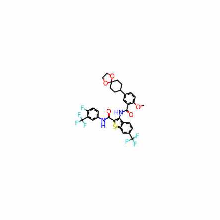 COc1ccc(C2CCC3(CC2)OCCO3)cc1C(=O)Nc1c(C(=O)Nc2ccc(F)c(C(F)(F)F)c2)sc2cc(C(F)(F)F)ccc12